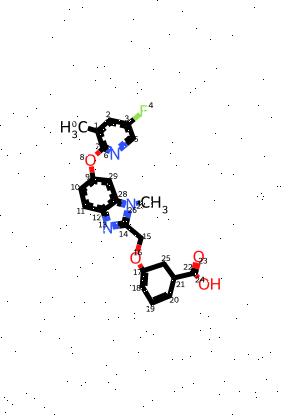 Cc1cc(F)cnc1Oc1ccc2nc(COC3=CC=CC(C(=O)O)C3)n(C)c2c1